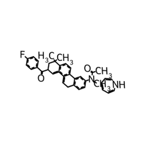 C1=CC=CNC=C1.CC(=O)N(C)c1ccc2c(c1)-c1ccc3c(c1=CC2)=CC(C(=O)c1ccc(F)cc1)CC3(C)C